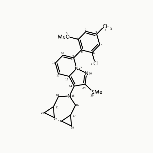 COc1cc(C)cc(Cl)c1-c1cccc2c(N(CC3CC3)CC3CC3)c(SC)nn12